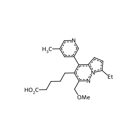 CCc1ccc2c(-c3cncc(C)c3)c(CCCCC(=O)O)c(COC)nn12